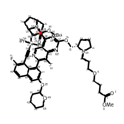 COC(=O)CCCOCCCN1CCC[C@H]1COc1nc(N2CC3CCC(C2)N3C(=O)OC(C)(C)C)c2cnc(-c3cc(OC4CCCCO4)cc4ccc(F)c(C#C[Si](C(C)C)(C(C)C)C(C)C)c34)c(F)c2n1